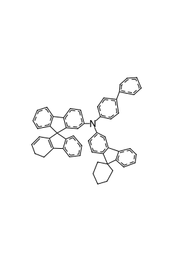 C1=CC2=C(CC1)c1ccccc1C21c2ccccc2-c2ccc(N(c3ccc(-c4ccccc4)cc3)c3ccc4c(c3)-c3ccccc3C43CCCCC3)cc21